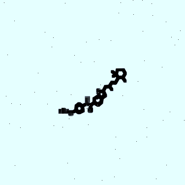 CCCCOc1ccc(NC(=O)c2ccc3cc(/C=C(\C)C=CC4=C(C)CCCC4(C)C)sc3c2)cc1